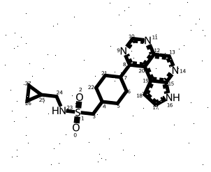 O=S(=O)(CC1CCC(c2ncnc3cnc4[nH]ccc4c23)CC1)NCC1CC1